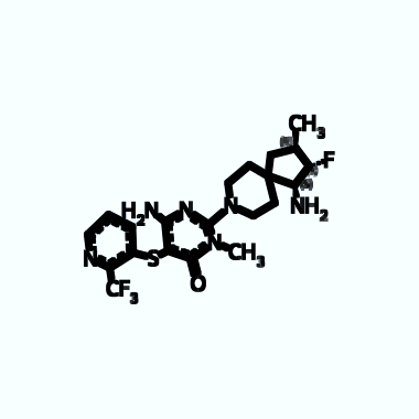 C[C@@H]1CC2(CCN(c3nc(N)c(Sc4cccnc4C(F)(F)F)c(=O)n3C)CC2)[C@H](N)[C@H]1F